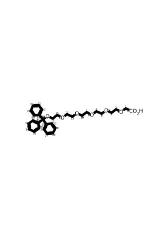 O=C(O)COCCOCCOCCOCCOCCOC(c1ccccc1)(c1ccccc1)c1ccccc1